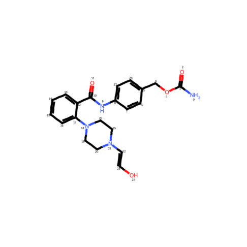 NC(=O)OCc1ccc(NC(=O)c2ccccc2N2CCN(C=CO)CC2)cc1